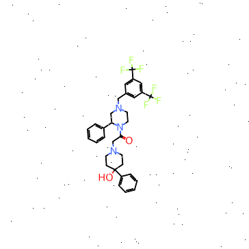 O=C(CN1CCC(O)(c2ccccc2)CC1)N1CCN(Cc2cc(C(F)(F)F)cc(C(F)(F)F)c2)CC1c1ccccc1